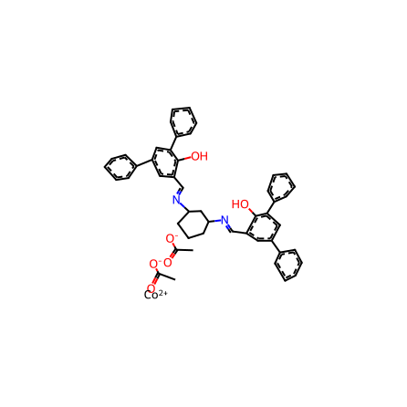 CC(=O)[O-].CC(=O)[O-].Oc1c(C=NC2CCCC(N=Cc3cc(-c4ccccc4)cc(-c4ccccc4)c3O)C2)cc(-c2ccccc2)cc1-c1ccccc1.[Co+2]